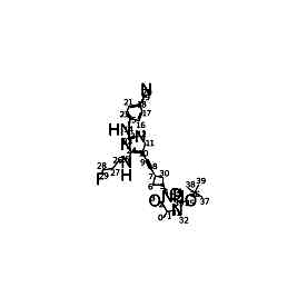 C[C@@H](C(=O)N[C@H]1C[C@@H](C#Cc2cnc(Nc3ccc(C#N)cc3)nc2NCCCF)C1)N(C)C(=O)OC(C)(C)C